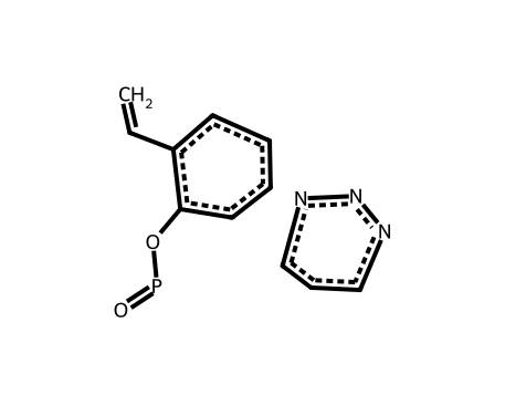 C=Cc1ccccc1OP=O.c1cnnnc1